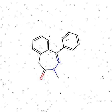 CN1N=C(c2ccccc2)c2ccccc2CC1=O